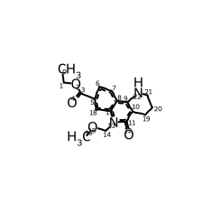 CCOC(=O)c1ccc2c3c(c(=O)n(COC)c2c1)CCCN3